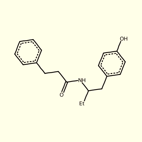 CCC(Cc1ccc(O)cc1)NC(=O)CCc1ccccc1